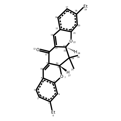 CCc1ccc2c(c1)O[C@@H]1C(=C2)C(=O)C2=Cc3ccc(CC)cc3O[C@H]2C1(C)C